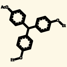 CCOc1ccc(C(c2ccc(OCC)cc2)c2ccc(OC(C)=O)cc2)cc1